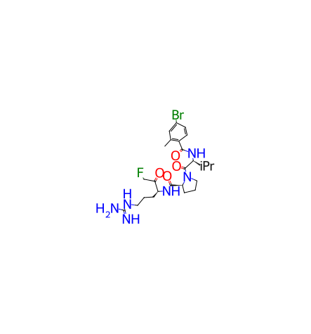 Cc1cc(Br)ccc1C(=O)N[C@H](C(=O)N1CCC[C@H]1C(=O)N[C@@H](CCCNC(=N)N)C(=O)CF)C(C)C